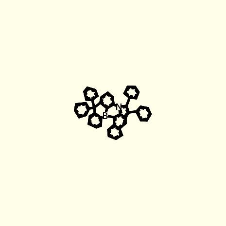 c1ccc(-c2c(-c3ccccc3)n3c4c(c5ccccc5cc24)B2c4ccccc4C(c4ccccc4)(c4ccccc4)c4cccc-3c42)cc1